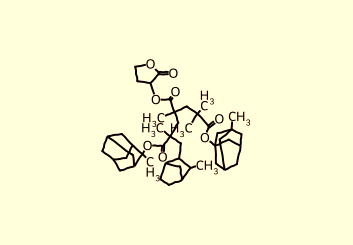 CC1C2CCC(C2)C1CC(C)(CC(C)(CC(C)(C)C(=O)OC12CC3CC(CC(C)(C3)C1)C2)C(=O)OC1CCOC1=O)C(=O)OC1(C)C2CC3CC(C2)CC1C3